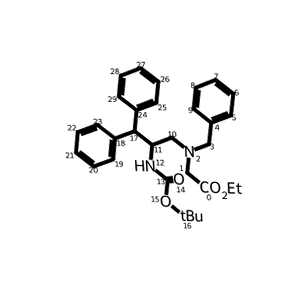 CCOC(=O)CN(Cc1ccccc1)CC(NC(=O)OC(C)(C)C)C(c1ccccc1)c1ccccc1